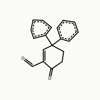 O=CC1=CC(c2ccccc2)(c2ccccc2)CCC1=O